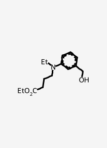 CCOC(=O)CCCN(CC)c1cccc(CO)c1